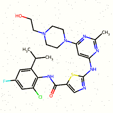 Cc1nc(Nc2ncc(C(=O)Nc3c(Cl)cc(F)cc3C(C)C)s2)cc(N2CCN(CCO)CC2)n1